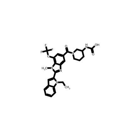 CCn1c(-c2nc3cc(C(=O)N4CCCC(NC(=O)O)C4)cc(OC(F)(F)F)c3n2C)cc2ccccc21